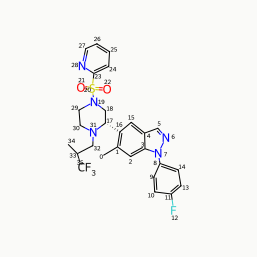 Cc1cc2c(cnn2-c2ccc(F)cc2)cc1[C@H]1CN(S(=O)(=O)c2ccccn2)CCN1CC(C)C(F)(F)F